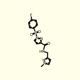 Cn1ccc(CNC(=O)c2ccn(S(=O)(=O)c3ccc(F)cc3)n2)n1